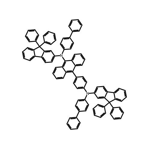 c1ccc(-c2ccc(N(c3ccc(-c4c5ccccc5c(N(c5ccc(-c6ccccc6)cc5)c5ccc6c(c5)C(c5ccccc5)(c5ccccc5)c5ccccc5-6)c5ccccc45)cc3)c3ccc4c(c3)C(c3ccccc3)(c3ccccc3)c3ccccc3-4)cc2)cc1